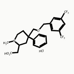 CN1CCC(COCc2cc(C(F)(F)F)cc(C(F)(F)F)c2)(c2ccccc2)CC1CC(=O)O.Cl